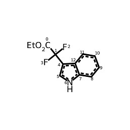 CCOC(=O)C(F)(F)c1c[nH]c2ccccc12